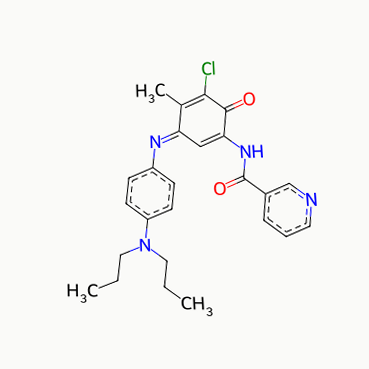 CCCN(CCC)c1ccc(N=C2C=C(NC(=O)c3cccnc3)C(=O)C(Cl)=C2C)cc1